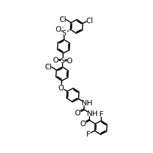 O=C(NC(=O)c1c(F)cccc1F)Nc1ccc(Oc2ccc(S(=O)(=O)c3ccc([S+]([O-])c4ccc(Cl)cc4Cl)cc3)c(Cl)c2)cc1